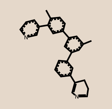 Cc1cc(-c2cccc(C3=CN=CCC3)c2)cc(-c2ccc(C)c(-c3cccnc3)c2)c1